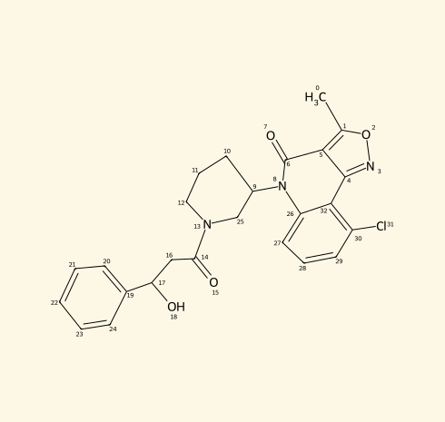 Cc1onc2c1c(=O)n(C1CCCN(C(=O)CC(O)c3ccccc3)C1)c1cccc(Cl)c21